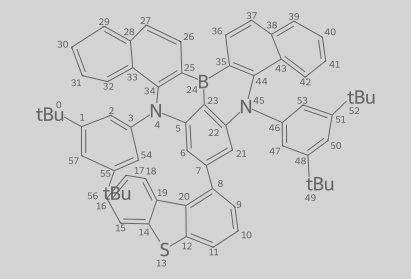 CC(C)(C)c1cc(N2c3cc(-c4cccc5sc6ccccc6c45)cc4c3B(c3ccc5ccccc5c32)c2ccc3ccccc3c2N4c2cc(C(C)(C)C)cc(C(C)(C)C)c2)cc(C(C)(C)C)c1